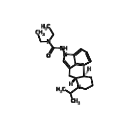 CCN(CC)C(=O)Nn1cc2c3c(cccc31)[C@H]1CCCN(C(C)C)[C@@H]1C2